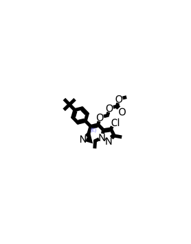 CCn1nc(C)c(Cl)c1/C(OCOC(=O)OC)=C(/c1ccc(C(C)(C)C)cc1)C1C=N1